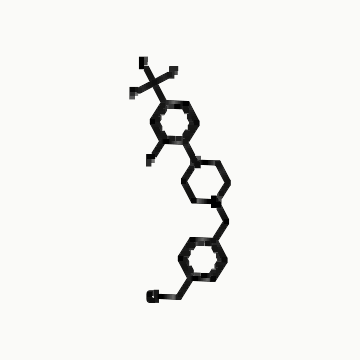 Fc1cc(C(F)(F)F)ccc1N1CCN(Cc2ccc(CCl)cc2)CC1